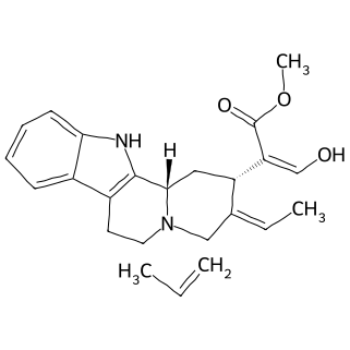 C/C=C1/CN2CCc3c([nH]c4ccccc34)[C@@H]2C[C@@H]1/C(=C/O)C(=O)OC.C=CC